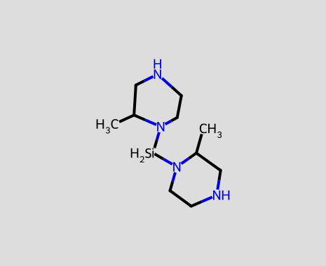 CC1CNCCN1[SiH2]N1CCNCC1C